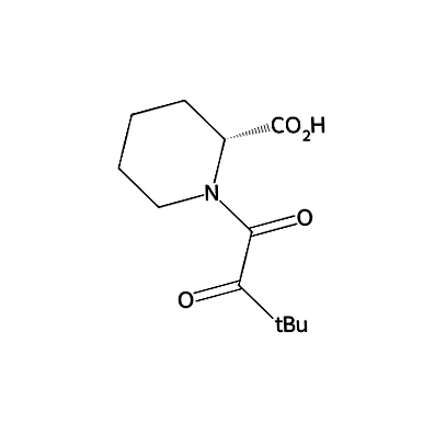 CC(C)(C)C(=O)C(=O)N1CCCC[C@@H]1C(=O)O